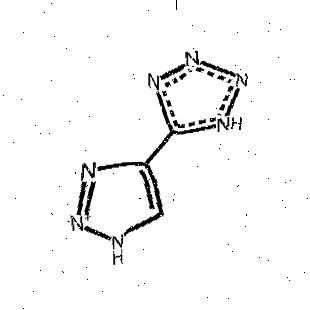 C1=C(c2nnn[nH]2)N=[N+]N1